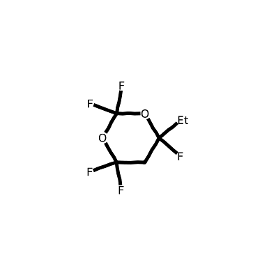 CCC1(F)CC(F)(F)OC(F)(F)O1